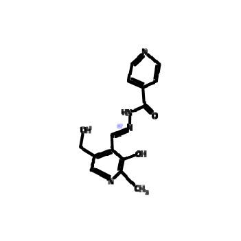 Cc1ncc(CO)c(/C=N/NC(=O)c2ccncc2)c1O